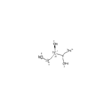 [2H]C(O)[13C@H](O)[13CH2]O